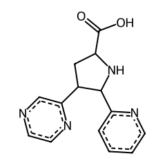 O=C(O)C1CC(c2cnccn2)C(c2ccccn2)N1